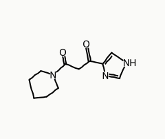 O=C(CC(=O)N1CCCCC1)c1c[nH]cn1